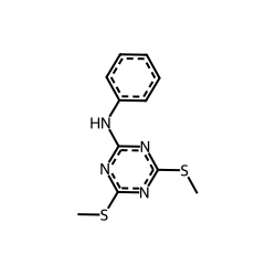 CSc1nc(Nc2ccccc2)nc(SC)n1